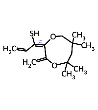 C=C/C(S)=C1/OCC(C)(C)CC(C)(C)OC1=C